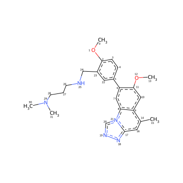 COc1ccc(-c2cc3c(cc2OC)c(C)cc2nncn23)cc1CNCCCN(C)C